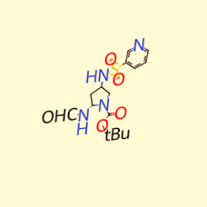 CC(C)(C)OC(=O)N1C[C@H](NS(=O)(=O)c2cccnc2)C[C@H]1NC=O